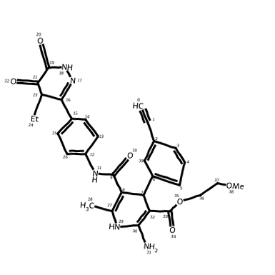 C#Cc1cccc(C2C(C(=O)Nc3ccc(C4=NNC(=O)C(=O)C4CC)cc3)=C(C)NC(N)=C2C(=O)OCCOC)c1